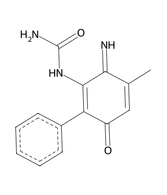 CC1=CC(=O)C(c2ccccc2)=C(NC(N)=O)C1=N